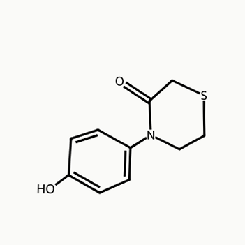 O=C1CSCCN1c1ccc(O)cc1